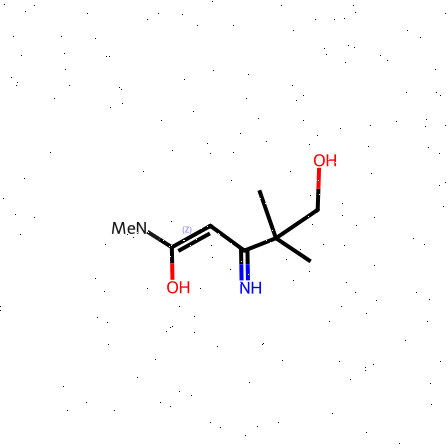 CN/C(O)=C/C(=N)C(C)(C)CO